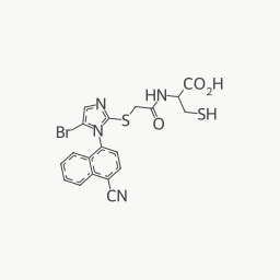 N#Cc1ccc(-n2c(Br)cnc2SCC(=O)NC(CS)C(=O)O)c2ccccc12